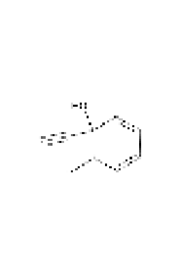 C#CC1(O)C=CC=CC1[CH2]